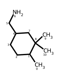 CC1CCC(CN)CC1(C)C